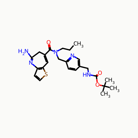 CCCN(Cc1ccc(CNC(=O)OC(C)(C)C)cn1)C(=O)C1=Cc2sccc2N=C(N)C1